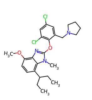 CCC(CC)c1ccc(OC)c2nc(Oc3c(Cl)cc(Cl)cc3CN3CCCC3)n(C)c12